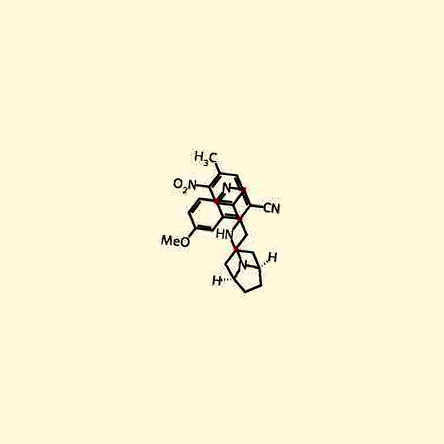 COc1ccc2ncc(C#N)c(CCN3[C@@H]4CC[C@H]3CC(NCc3ccc(C)c([N+](=O)[O-])c3)C4)c2c1